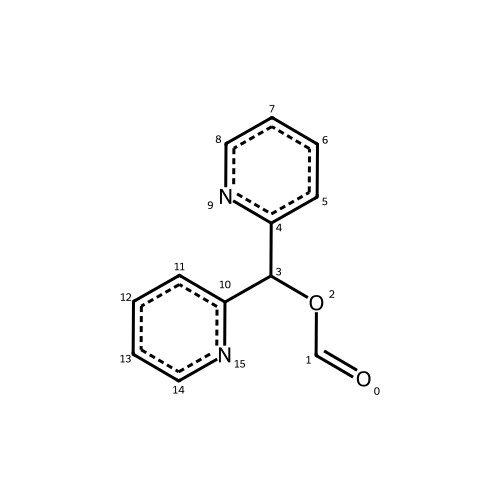 O=COC(c1ccccn1)c1ccccn1